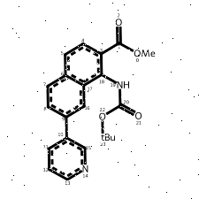 COC(=O)c1ccc2ccc(-c3cccnc3)cc2c1NC(=O)OC(C)(C)C